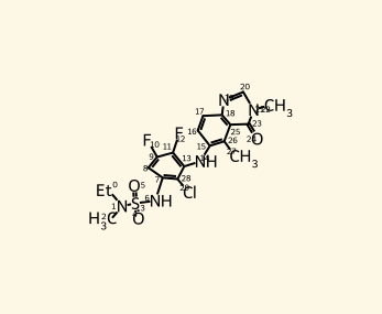 CCN(C)S(=O)(=O)Nc1cc(F)c(F)c(Nc2ccc3ncn(C)c(=O)c3c2C)c1Cl